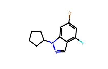 Fc1cc(Br)cc2c1cnn2C1CCCC1